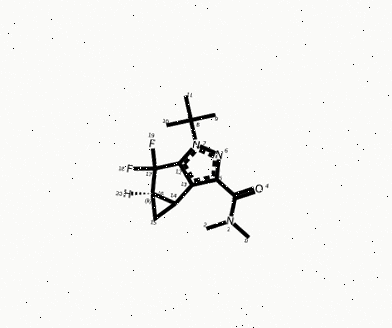 CN(C)C(=O)c1nn(C(C)(C)C)c2c1C1C[C@H]1C2(F)F